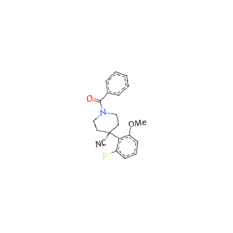 COc1cccc(F)c1C1(C#N)CCN(C(=O)c2ccccc2)CC1